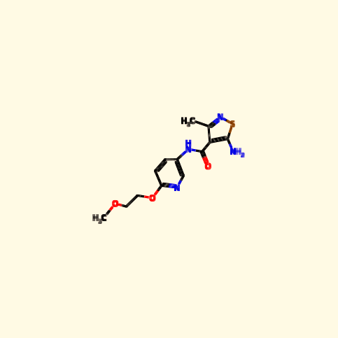 COCCOc1ccc(NC(=O)c2c(C)nsc2N)cn1